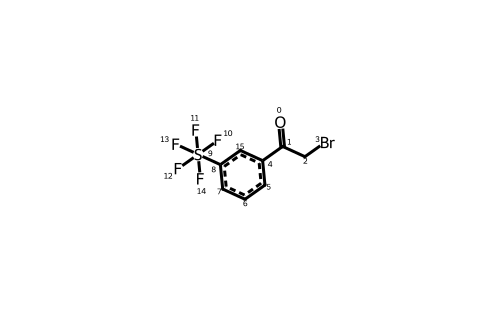 O=C(CBr)c1cccc(S(F)(F)(F)(F)F)c1